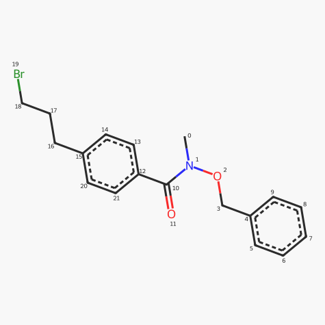 CN(OCc1ccccc1)C(=O)c1ccc(CCCBr)cc1